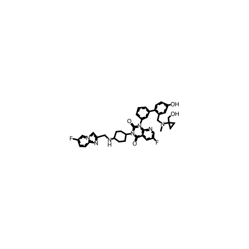 CN(Cc1cc(O)ccc1-c1cccc(-n2c(=O)n(C3CCC(NCc4cn5cc(F)ccc5n4)CC3)c(=O)c3cc(F)cnc32)c1)C1(CO)CC1